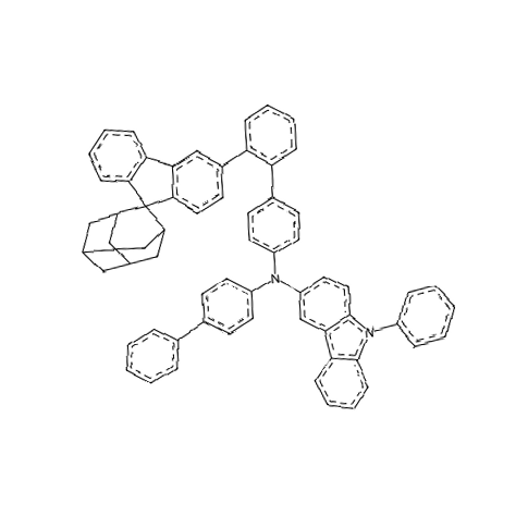 c1ccc(-c2ccc(N(c3ccc(-c4ccccc4-c4ccc5c(c4)-c4ccccc4C54C5CC6CC(C5)CC4C6)cc3)c3ccc4c(c3)c3ccccc3n4-c3ccccc3)cc2)cc1